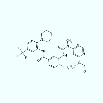 Cc1ccc(C(=O)Nc2cc(C(F)(F)F)ccc2N2CCCCC2)cc1NC(=O)N(C)c1cc(N(C)C=O)ncn1